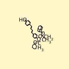 C=C(C)C(=O)OC1C2CC3CC(C2)CC1C3.CC(Oc1ccc(C=CC=Cc2ccc(O)cc2)cc1)OC1CCCCC1